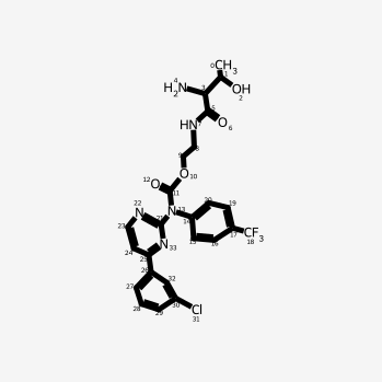 CC(O)C(N)C(=O)NCCOC(=O)N(c1ccc(C(F)(F)F)cc1)c1nccc(-c2cccc(Cl)c2)n1